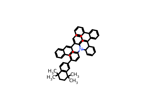 CC1(C)CCC(C)(C)c2cc(-c3ccc(N(c4ccccc4-c4ccc5ccccc5c4)C4C=CC=CC4c4cc5ccccc5c5ccccc45)cc3)ccc21